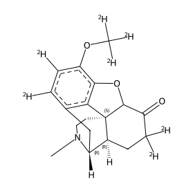 [2H]c1c([2H])c(OC([2H])([2H])[2H])c2c3c1C[C@@H]1[C@@H]4CC([2H])([2H])C(=O)C(O2)[C@]34CCN1C